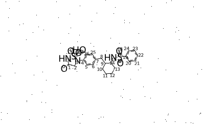 O=C1CN(c2ccc(CC3CCCCC3NS(=O)(=O)c3ccccc3)cc2O)S(=O)(=O)N1